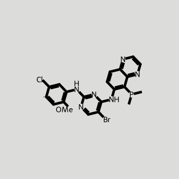 COc1c[c]c(Cl)cc1Nc1ncc(Br)c(Nc2ccc3nccnc3c2P(C)C)n1